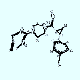 C#C/C=N\C(=N/C)N1CCN(C(=O)[C@@H]2C[C@@H]2c2ccc(F)cc2)CC1